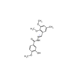 COc1ccc(C(=O)N/N=C/c2cc(C)cc(OC)c2OC)cc1O